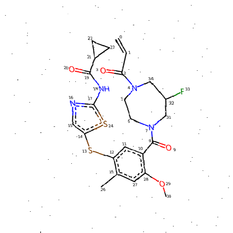 C=CC(=O)N1CCN(C(=O)c2cc(Sc3cnc(NC(=O)C4CC4)s3)c(C)cc2OC)CC(F)C1